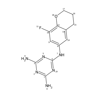 Nc1nc(N)nc(Nc2cc(F)c3c(c2)CCCO3)n1